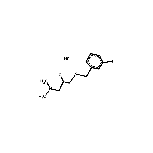 CN(C)CC(O)CSCc1cccc(F)c1.Cl